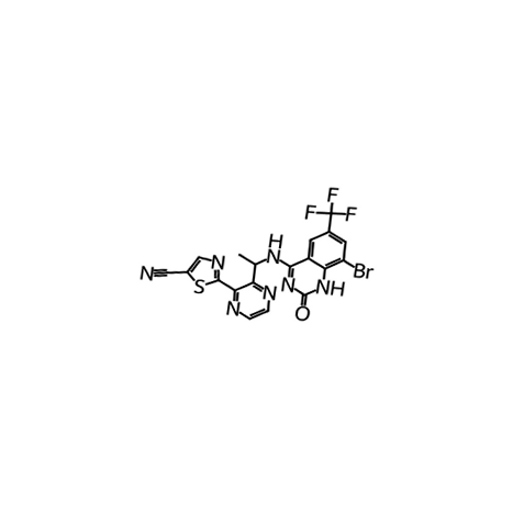 CC(Nc1nc(=O)[nH]c2c(Br)cc(C(F)(F)F)cc12)c1nccnc1-c1ncc(C#N)s1